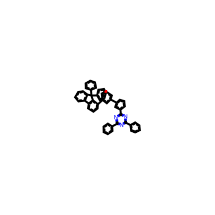 c1ccc(-c2nc(-c3ccccc3)nc(-c3cccc(-c4cccc(-c5cccc6c5C(c5ccccc5)(c5ccccc5)c5ccccc5-6)c4)c3)n2)cc1